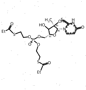 CCC(=O)SCCOP(=O)(OCCSC(=O)CC)OC[C@H]1O[C@@H](n2ccc(=O)[nH]c2=S)[C@](C)(O)C1O